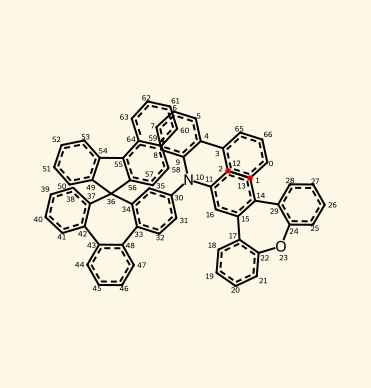 c1ccc(-c2ccccc2N(c2ccc3c(c2)-c2ccccc2Oc2ccccc2-3)c2ccc3c(c2)C2(c4ccccc4-c4ccccc4-3)c3ccccc3-c3c2ccc2ccccc32)cc1